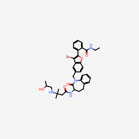 CCNC(=O)c1ccccc1-c1oc2ccc(CN3C(=O)C(NC(=O)CC(C)(C)NCC(C)O)CCc4ccccc43)cc2c1Br